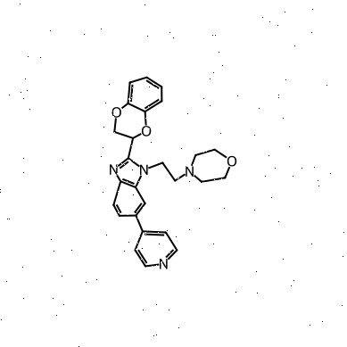 c1ccc2c(c1)OCC(c1nc3ccc(-c4ccncc4)cc3n1CCN1CCOCC1)O2